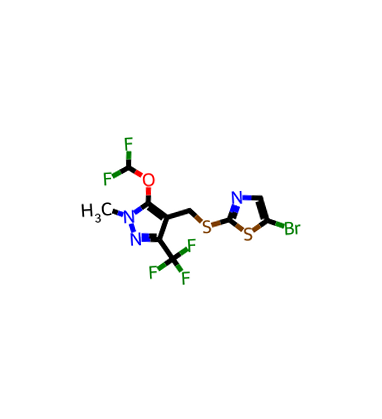 Cn1nc(C(F)(F)F)c(CSc2ncc(Br)s2)c1OC(F)F